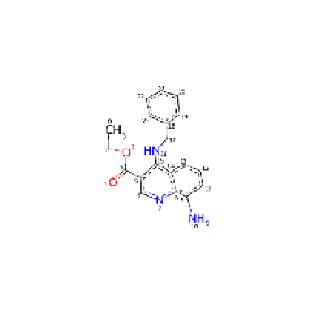 CCOC(=O)c1cnc2c(N)cccc2c1NCc1ccccc1